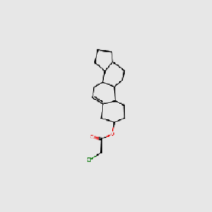 O=C(CCl)OC1CCC2C(=CCC3C4CCCC4CCC23)C1